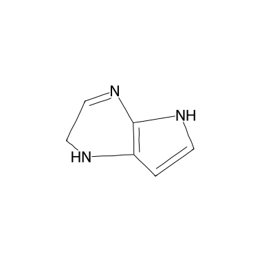 C1=Nc2[nH]ccc2NC1